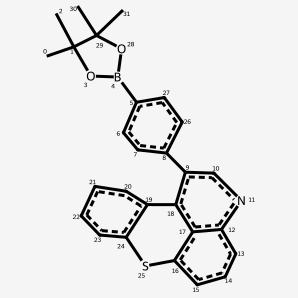 CC1(C)OB(c2ccc(-c3cnc4cccc5c4c3-c3ccccc3S5)cc2)OC1(C)C